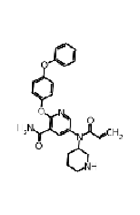 C=CC(=O)N(c1cnc(Oc2ccc(Oc3ccccc3)cc2)c(C(N)=O)c1)C1CCCNC1